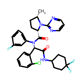 C[C@H]1CC[C@@H](C(=O)N(c2cccc(F)c2)[C@H](C(=O)NC2CCC(F)(F)CC2)c2ccccc2Cl)N1c1ncccn1